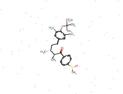 Cc1cc(CC[C@@H](C)[C@H](C)C(=O)c2ccc([S+](C)[O-])cc2)cc(C)c1OC(C)(C)C(=O)O